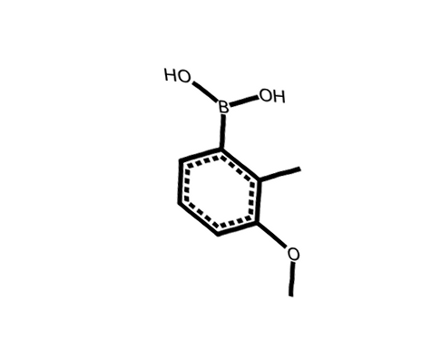 COc1cccc(B(O)O)c1C